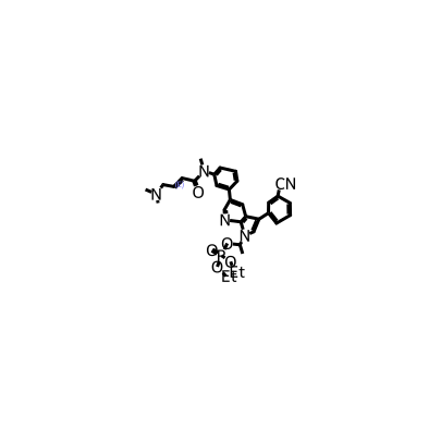 CCOP(=O)(OCC)OC(C)n1cc(-c2cccc(C#N)c2)c2cc(-c3cccc(N(C)C(=O)/C=C/CN(C)C)c3)cnc21